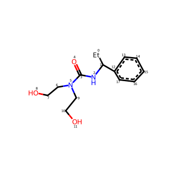 [CH2]CC(NC(=O)N(CCO)CCO)c1ccccc1